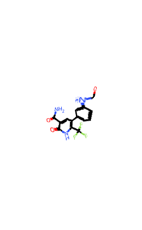 NC(=O)c1cc(-c2cccc(NC=O)c2)c(C(F)(F)F)[nH]c1=O